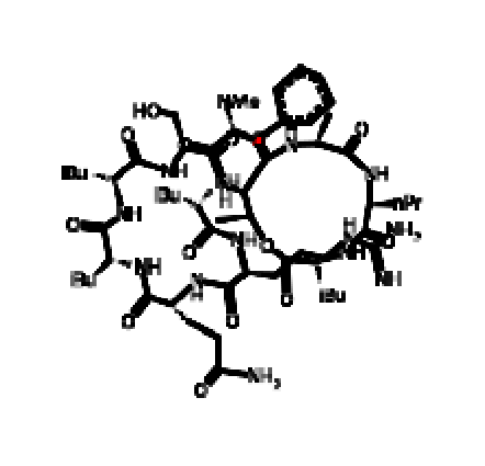 CCC[C@@H]1NC(=O)[C@H](C)NC(=O)[C@H](NC(=O)[C@H](CO)NC(=O)[C@@H](NC(=O)[C@H](NC(=O)[C@@H](CCC(N)=O)NC(=O)[C@H](CCCNC(=N)N)NC(=O)[C@@H](NC(=O)[C@@H](Cc2ccccc2)NC)[C@@H](C)CC)[C@H](C)CC)[C@@H](C)CC)[C@H](C)OC(=O)[C@H]([C@@H](C)CC)NC1=O